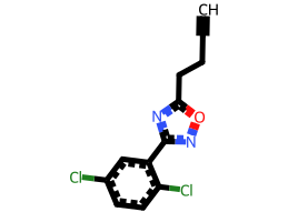 C#CCCc1nc(-c2cc(Cl)ccc2Cl)no1